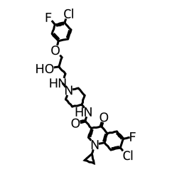 O=C(NC1CCN(NCC(O)COc2ccc(Cl)c(F)c2)CC1)c1cn(C2CC2)c2cc(Cl)c(F)cc2c1=O